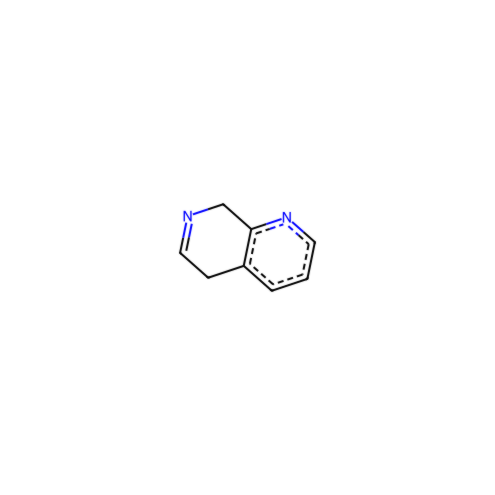 C1=NCc2ncccc2C1